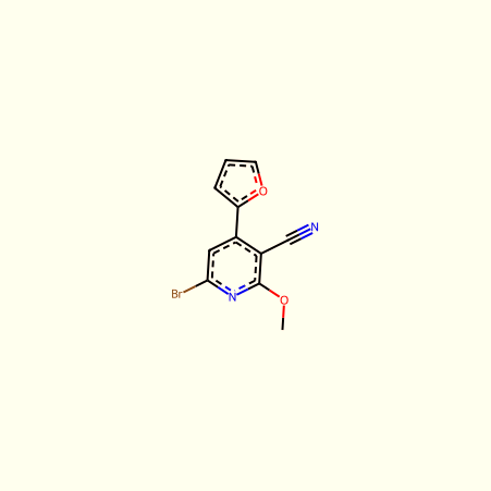 COc1nc(Br)cc(-c2ccco2)c1C#N